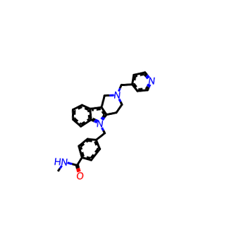 CNC(=O)c1ccc(Cn2c3c(c4ccccc42)CN(Cc2ccncc2)CC3)cc1